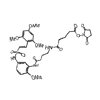 COc1cc(OC)c(/C=C/S(=O)(=O)Nc2ccc(OC)c(NC(=O)CCCNC(=O)CCCC(=O)ON3C(=O)CCC3=O)c2)c(OC)c1